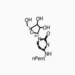 CCCCCNc1ccn([C@@H]2O[C@H](CO)C(O)C2O)c(=O)n1